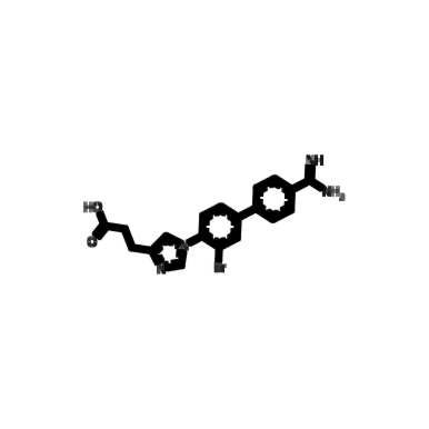 N=C(N)c1ccc(-c2ccc(-n3cnc(CCC(=O)O)c3)c(Br)c2)cc1